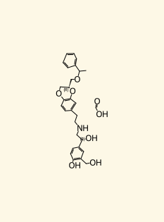 CC(OC[C@@H]1COc2ccc(CCNC[C@H](O)c3ccc(O)c(CO)c3)cc2O1)c1ccccc1.O=CO